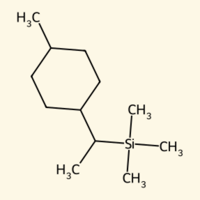 CC1CCC(C(C)[Si](C)(C)C)CC1